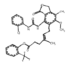 COc1c(C)c2c(c(NC(=O)Nc3ccccc3Cl)c1C/C=C(\C)CCC(=O)Oc1ccccc1C(F)(F)F)C(=O)OC2